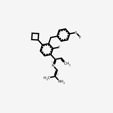 C=C/C(=N\C=C(/C)N)c1ccc(C2CCC2)c(Cc2ccc(SF)cc2)c1F